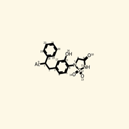 CC(=O)C(Cc1ccc(N2CC(=O)NS2(=O)=O)c(O)c1)c1ccccc1